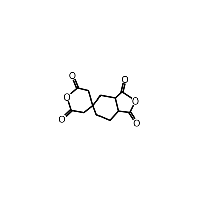 O=C1CC2(CCC3C(=O)OC(=O)C3C2)CC(=O)O1